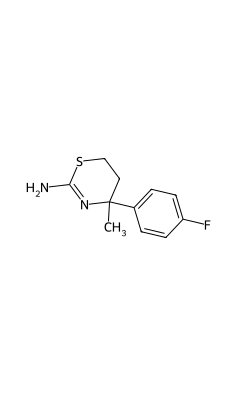 CC1(c2ccc(F)cc2)CCSC(N)=N1